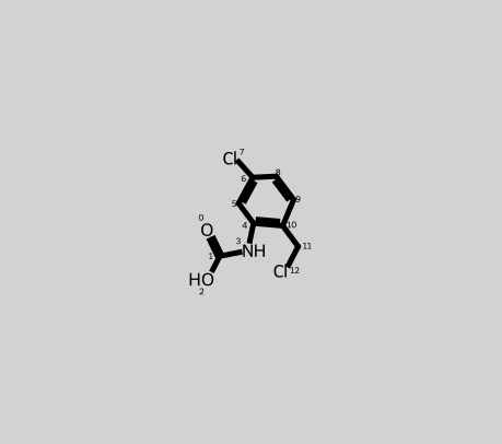 O=C(O)Nc1cc(Cl)ccc1CCl